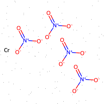 O=[N+]([O-])[O-].O=[N+]([O-])[O-].O=[N+]([O-])[O-].O=[N+]([O-])[O-].[Cr]